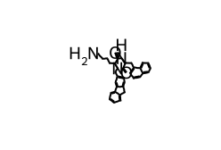 NCCCCC1C(=O)NC(Cc2cccc3ccccc23)C(=O)N1Cc1ccc2c(c1)-c1ccccc1C2